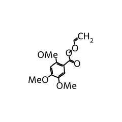 C=COOC(=O)c1cc(OC)c(OC)cc1OC